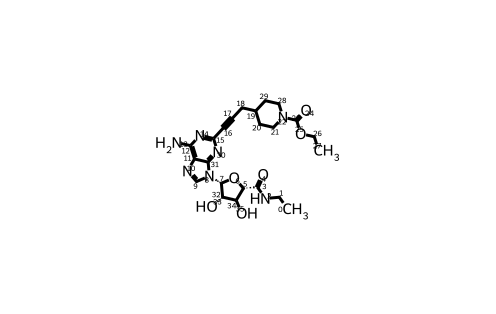 CCNC(=O)[C@H]1O[C@@H](n2cnc3c(N)nc(C#CCC4CCN(C(=O)OCC)CC4)nc32)[C@@H](O)C1O